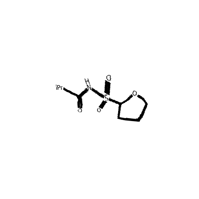 CC(C)C(=O)NS(=O)(=O)C1CCCO1